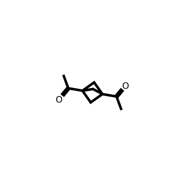 CC(=O)C12CC(C(C)=O)(C1)C2